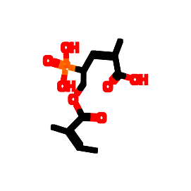 CC=C(C)C(=O)OCC(C=C(C)C(=O)O)P(=O)(O)O